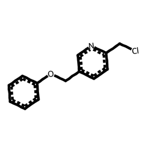 ClCc1ccc(COc2ccccc2)cn1